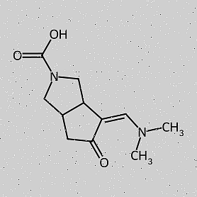 CN(C)C=C1C(=O)CC2CN(C(=O)O)CC12